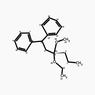 CCC[C@](CC(c1ccccc1)c1ccccc1)(OC)OCC